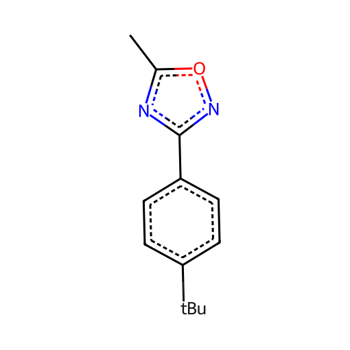 Cc1nc(-c2ccc(C(C)(C)C)cc2)no1